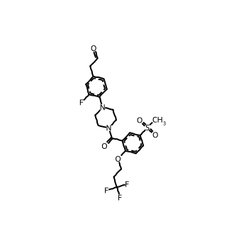 CS(=O)(=O)c1ccc(OCCC(F)(F)F)c(C(=O)N2CCN(c3ccc(CC=O)cc3F)CC2)c1